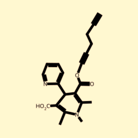 C#CCCC#COC(=O)C1=C(C)N(C)C(C)=C(C(=O)O)C1c1ccccn1